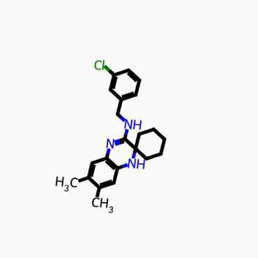 Cc1cc2c(cc1C)NC1(CCCCC1)C(NCc1cccc(Cl)c1)=N2